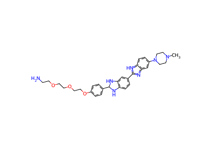 CN1CCN(c2ccc3[nH]c(-c4ccc5c(c4)NC(c4ccc(OCCOCCOCCN)cc4)N5)nc3c2)CC1